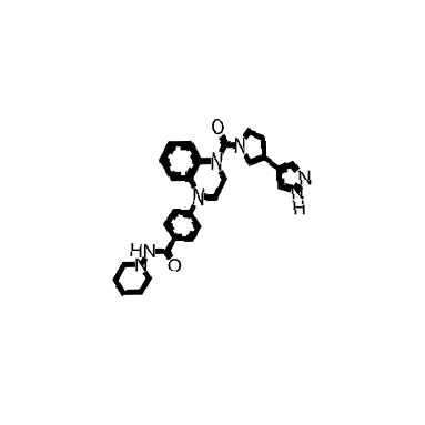 O=C(NN1CCCCC1)c1ccc(N2CCN(C(=O)N3CCC(c4cn[nH]c4)C3)c3ccccc32)cc1